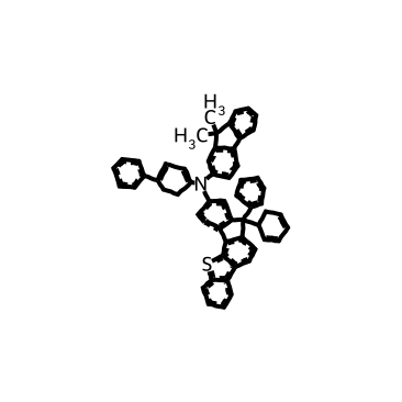 CC1(C)c2ccccc2-c2ccc(N(C3=CC=C(c4ccccc4)CC3)c3ccc4c(c3)C(c3ccccc3)(C3C=CC=CC3)c3ccc5c(sc6ccccc65)c3-4)cc21